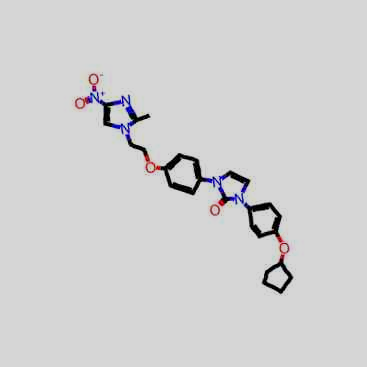 Cc1nc([N+](=O)[O-])cn1CCOc1ccc(-n2ccn(-c3ccc(OC4CCCC4)cc3)c2=O)cc1